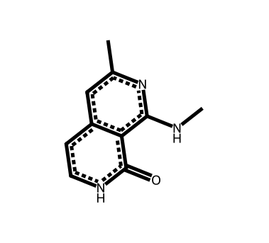 CNc1nc(C)cc2cc[nH]c(=O)c12